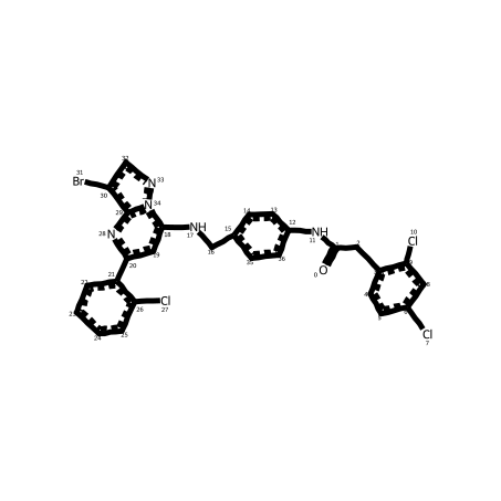 O=C(Cc1ccc(Cl)cc1Cl)Nc1ccc(CNc2cc(-c3ccccc3Cl)nc3c(Br)cnn23)cc1